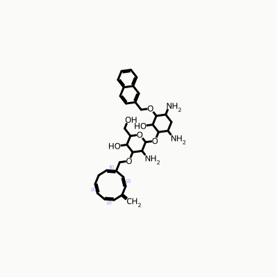 C=C1/C=C\C=C/C/C=C(COC2C(N)C(OC3C(N)CC(N)C(OCc4ccc5ccccc5c4)C3O)OC(CO)C2O)\C=C/1